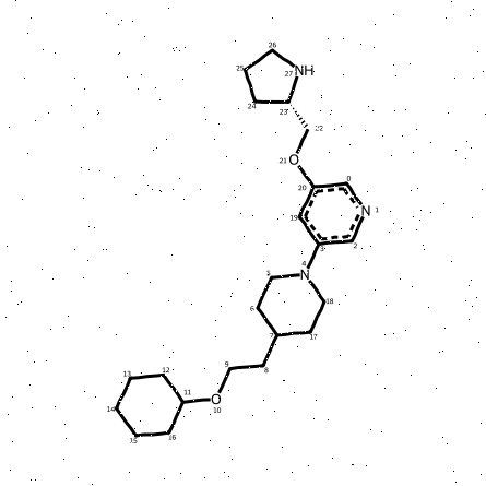 c1ncc(N2CCC(CCOC3CCCCC3)CC2)cc1OC[C@@H]1CCCN1